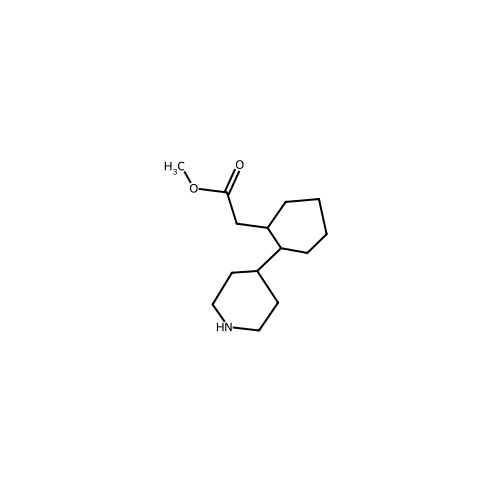 COC(=O)CC1CCCCC1C1CCNCC1